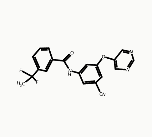 CC(F)(F)c1cccc(C(=O)Nc2cc(C#N)cc(Oc3cncnc3)c2)c1